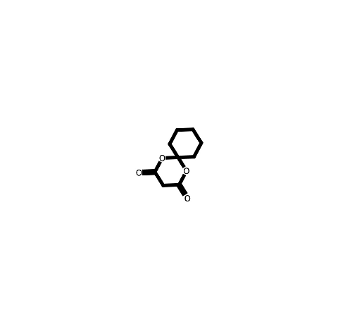 O=C1CC(=O)OC2(CCCCC2)O1